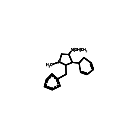 CN(O)C1CN(C)C(Cc2ccccc2)C1C1C=CC=CC1